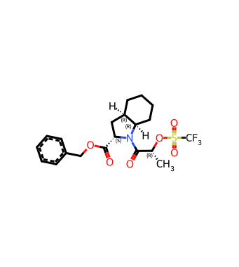 C[C@@H](OS(=O)(=O)C(F)(F)F)C(=O)N1[C@@H]2CCCC[C@@H]2C[C@H]1C(=O)OCc1ccccc1